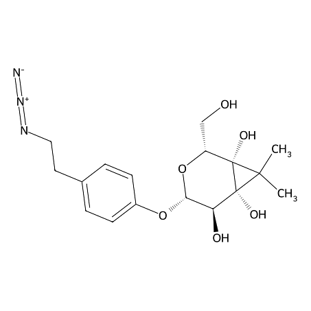 CC1(C)[C@]2(O)[C@@H](CO)O[C@@H](Oc3ccc(CCN=[N+]=[N-])cc3)[C@H](O)[C@]12O